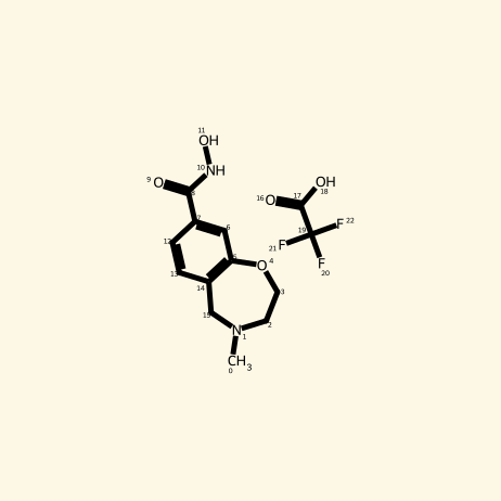 CN1CCOc2cc(C(=O)NO)ccc2C1.O=C(O)C(F)(F)F